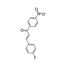 O=C(C=Cc1ccc(F)cc1)c1ccc([N+](=O)[O-])cc1